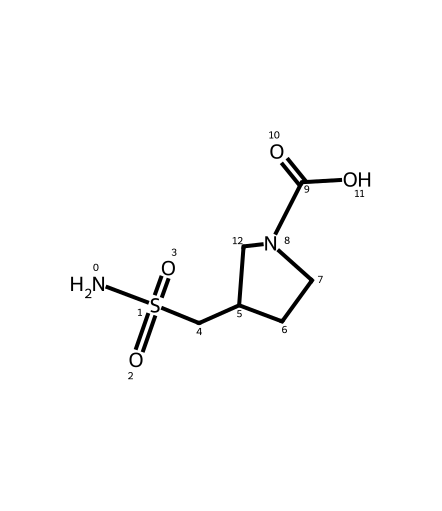 NS(=O)(=O)CC1CCN(C(=O)O)C1